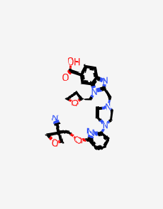 N#CC1(COc2cccc(N3CCN(Cc4nc5ccc(C(=O)O)cc5n4C[C@@H]4CCO4)CC3)n2)COC1